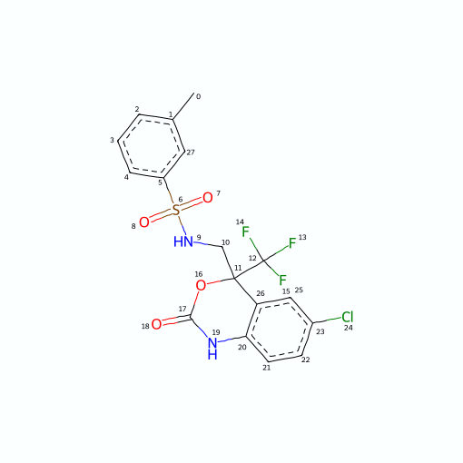 Cc1cccc(S(=O)(=O)NCC2(C(F)(F)F)OC(=O)Nc3ccc(Cl)cc32)c1